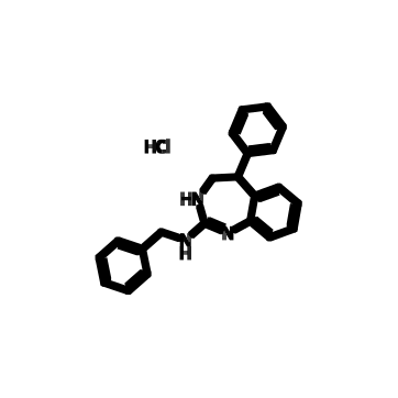 Cl.c1ccc(CNC2=Nc3ccccc3C(c3ccccc3)CN2)cc1